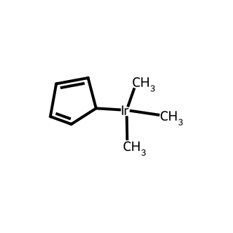 [CH3][Ir]([CH3])([CH3])[CH]1C=CC=C1